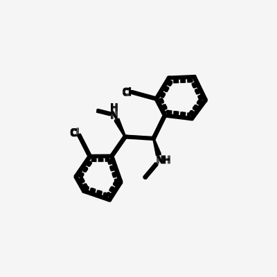 CN[C@H](c1ccccc1Cl)[C@H](NC)c1ccccc1Cl